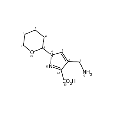 NCc1cn(C2CCCCO2)nc1C(=O)O